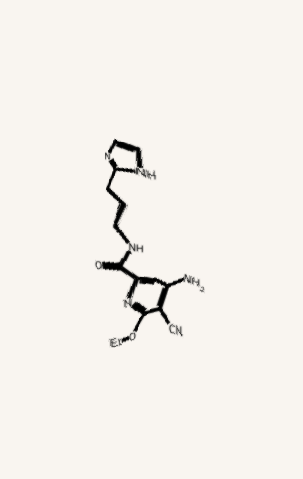 CCOc1nc(C(=O)NCCCc2ncc[nH]2)cc(N)c1C#N